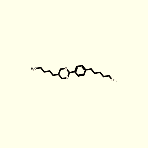 CCCCCCc1ccc(C2OCC(CCCCC)CO2)cc1